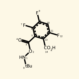 CC(C)(C)NOC(=O)c1c(F)c(F)cc(F)c1C(=O)O